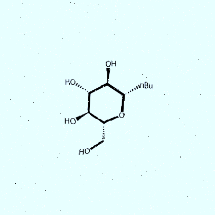 CCCC[C@@H]1O[C@H](CO)[C@@H](O)[C@H](O)[C@H]1O